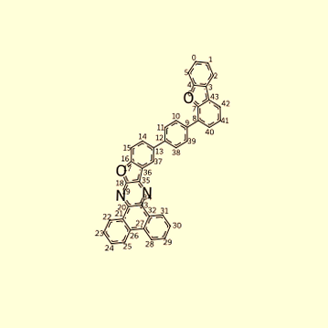 c1ccc2c(c1)oc1c(-c3ccc(-c4ccc5oc6nc7c8ccccc8c8ccccc8c7nc6c5c4)cc3)cccc12